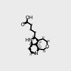 O=C(O)CCCc1[nH]c2ccnc3c2c1CCOC3